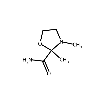 CN1CCOC1(C)C(N)=O